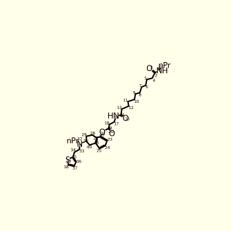 CCCNC(=O)CCCCCCCCCCC(=O)NCCC(=O)Oc1cccc2c1CC[C@H](N(CCC)CCc1cccs1)C2